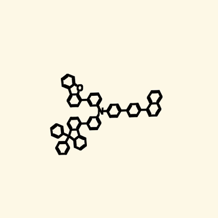 c1ccc(C2(c3ccccc3)c3ccccc3-c3c(-c4cccc(N(c5ccc(-c6ccc(-c7cccc8ccccc78)cc6)cc5)c5cccc(-c6cccc7c6oc6ccccc67)c5)c4)cccc32)cc1